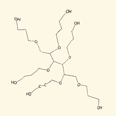 OCCCOCC(OCCCO)C(OCCCO)C(OCCCO)C(COCCCO)OCCCO